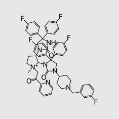 C[N+]1(CC(=O)c2ccccn2)CCC(N2CC(c3ccc(F)cc3)(c3ccc(F)cc3)NC2=O)C1N1C(=O)N(C2CCN(Cc3cccc(F)c3)CC2)CC1(c1ccc(F)cc1)c1ccc(F)cc1